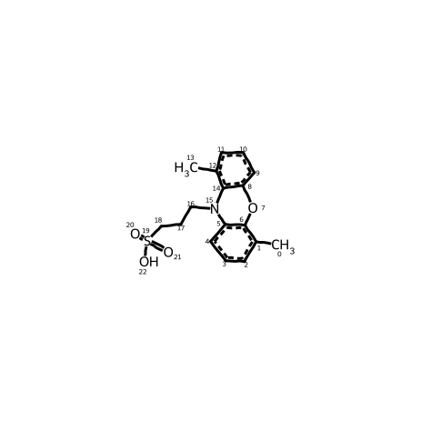 Cc1cccc2c1Oc1cccc(C)c1N2CCCS(=O)(=O)O